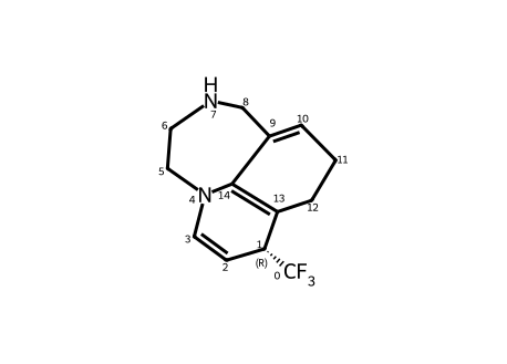 FC(F)(F)[C@@H]1C=CN2CCNCC3=CCCC1=C32